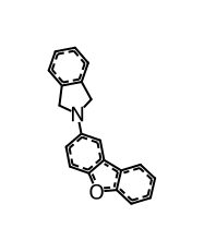 c1ccc2c(c1)CN(c1ccc3oc4ccccc4c3c1)C2